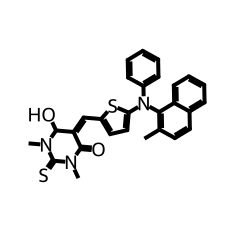 Cc1ccc2ccccc2c1N(c1ccccc1)c1ccc(/C=C2\C(=O)N(C)C(=S)N(C)C2O)s1